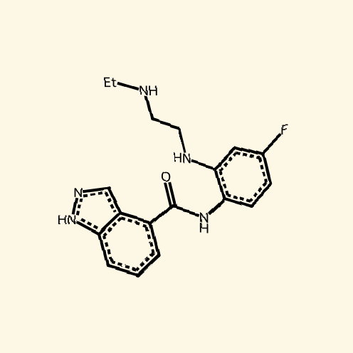 CCNCCNc1cc(F)ccc1NC(=O)c1cccc2[nH]ncc12